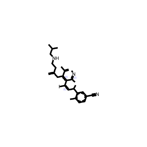 C=C(CCNCC(C)C)C/C(C(=C)C)=C(C(/C)=N\C)\C(I)=C/C(C)c1cc(C#N)ccc1C